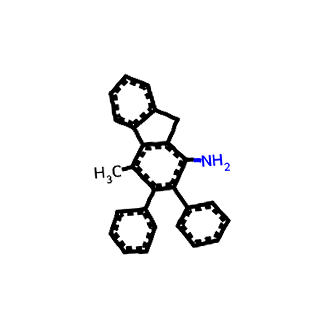 Cc1c2c(c(N)c(-c3ccccc3)c1-c1ccccc1)Cc1ccccc1-2